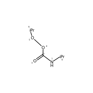 CC(C)NC(=O)OOC(C)C